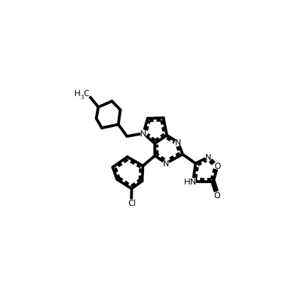 CC1CCC(Cn2ccc3nc(-c4noc(=O)[nH]4)nc(-c4cccc(Cl)c4)c32)CC1